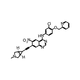 CN1C[C@@H]2C(C#Cc3cc4ncnc(Nc5ccc(OCc6ccccn6)c(Cl)c5)c4cc3[N+](=O)[O-])[C@@H]2C1